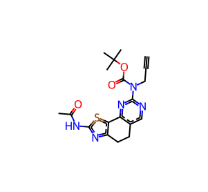 C#CCN(C(=O)OC(C)(C)C)c1ncc2c(n1)-c1sc(NC(C)=O)nc1CC2